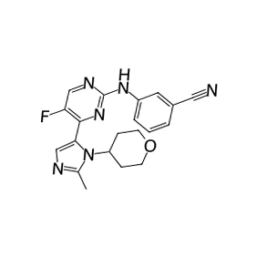 Cc1ncc(-c2nc(Nc3cccc(C#N)c3)ncc2F)n1C1CCOCC1